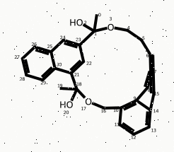 CC1(O)OCCc2ccc3c(cccc3c2)COC(C)(O)c2cc1cc1ccccc21